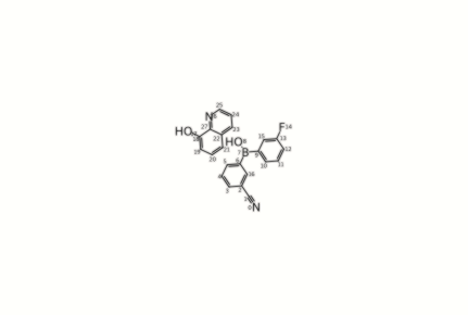 N#Cc1cccc(B(O)c2cccc(F)c2)c1.Oc1cccc2cccnc12